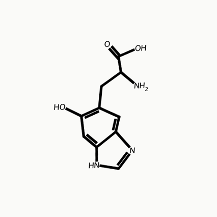 NC(Cc1cc2nc[nH]c2cc1O)C(=O)O